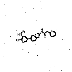 CC(C)Nc1cc(-c2ccc3nc(NC(=O)Cc4ccccn4)sc3c2)cnc1Cl